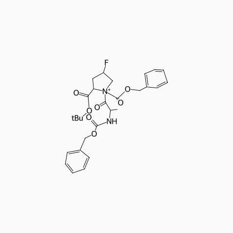 CC(NC(=O)OCc1ccccc1)C(=O)[N+]1(C(=O)OCc2ccccc2)CC(F)CC1C(=O)OC(C)(C)C